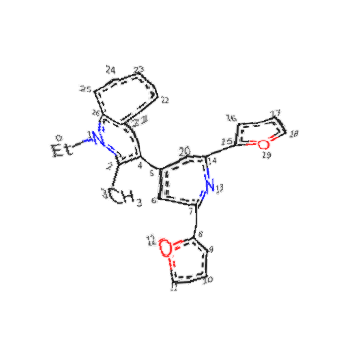 CCn1c(C)c(-c2cc(-c3ccco3)nc(-c3ccco3)c2)c2ccccc21